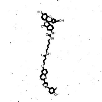 O=C(CCCOc1ccc2nc(-c3cn(-c4ccc(O)c(F)c4)nn3)ccc2c1)NCCCCCNC(=O)Nc1ccc2c(c1)C(=O)OC21c2ccc(O)cc2Oc2cc(O)ccc21